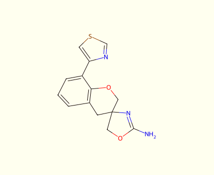 NC1=NC2(CO1)COc1c(cccc1-c1cscn1)C2